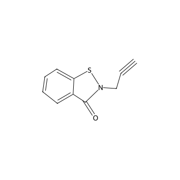 C#CCn1sc2ccccc2c1=O